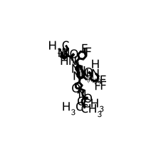 CCn1nccc1C(=O)N[C@H](c1cn2nc(C[C@H]3C[C@@H](C(F)(F)F)CNC3=O)c(C3COC4(C3)CN(C(=O)OC(C)(C)C)C4)nc2n1)C1CCC(F)(F)CC1